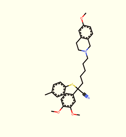 COc1ccc2c(c1)CCN(CCCCCC(C#N)(Sc1ccc(C)cc1)c1ccc(OC)c(OC)c1)C2